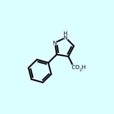 O=C(O)c1c[nH]nc1-c1ccccc1